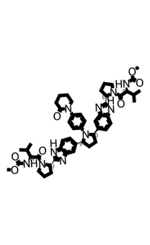 COC(=O)N[C@H](C(=O)N1CCC[C@H]1c1nc2cc([C@H]3CC[C@H](c4ccc5[nH]c([C@@H]6CCCN6C(=O)[C@@H](NC(=O)OC)C(C)C)nc5c4)N3c3ccc(N4CCCCC4=O)cc3)ccc2[nH]1)C(C)C